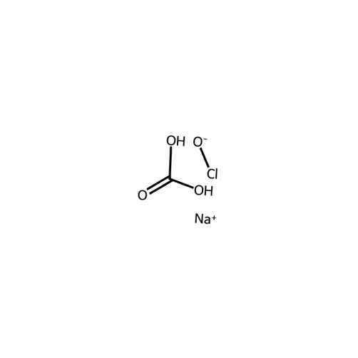 O=C(O)O.[Na+].[O-]Cl